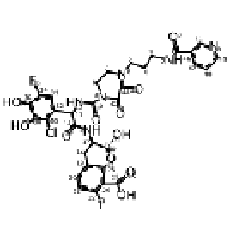 O=C(NCCCN1CCN(C(=O)NC(C(=O)NC2Cc3ccc(F)c(C(=O)O)c3OB2O)c2cc(F)c(O)c(O)c2Cl)C(=O)C1=O)c1cccnc1